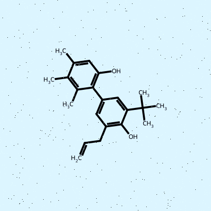 C=CCc1cc(-c2c(O)cc(C)c(C)c2C)cc(C(C)(C)C)c1O